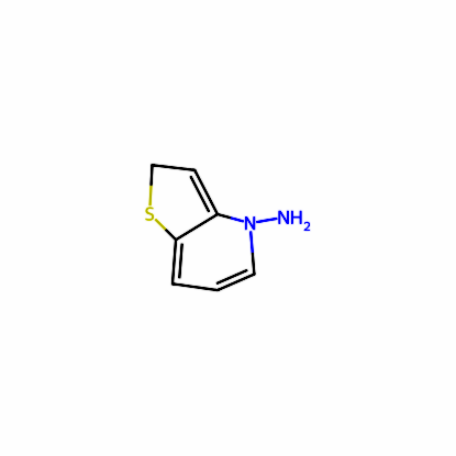 NN1C=CC=C2SCC=C21